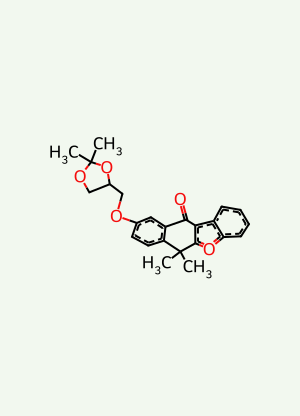 CC1(C)OCC(COc2ccc3c(c2)C(=O)c2c(oc4ccccc24)C3(C)C)O1